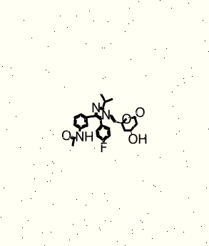 CC(=O)Nc1cccc(-c2nc(C(C)C)n(/C=C/[C@@H]3C[C@@H](O)CC(=O)O3)c2-c2ccc(F)cc2)c1